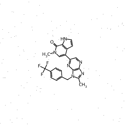 Cc1nc2ncc(-c3cn(C)c(=O)c4[nH]ccc34)nc2n1Cc1ccc(C(F)(F)F)cc1